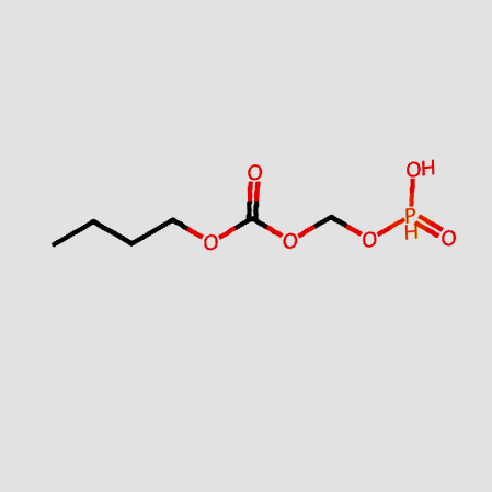 CCCCOC(=O)OCO[PH](=O)O